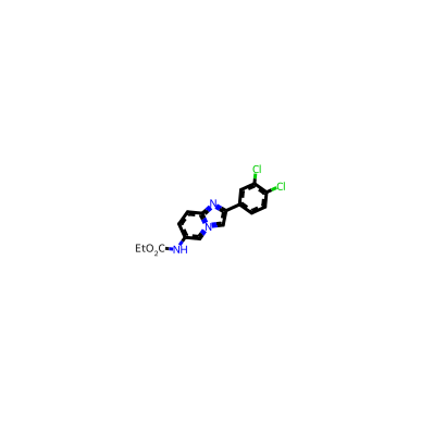 CCOC(=O)Nc1ccc2nc(-c3ccc(Cl)c(Cl)c3)cn2c1